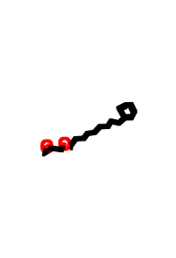 [CH](CCCCCCCCc1ccccc1)OCC1CO1